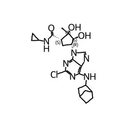 C[C@]1(O)[C@@H](C(=O)NC2CC2)C[C@@H](n2cnc3c(NC4CC5CCC4C5)nc(Cl)nc32)[C@@H]1O